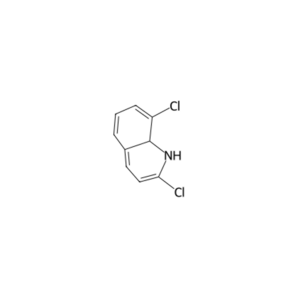 ClC1=CC=C2C=CC=C(Cl)C2N1